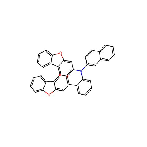 c1ccc(N(c2ccc3ccccc3c2)c2ccc3c(c2)oc2ccccc23)c(-c2ccc3c(c2)oc2ccccc23)c1